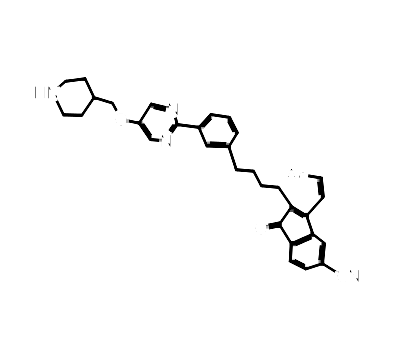 CC(=O)/C=C\C1=C(CCCCc2cccc(-c3ncc(OCC4CCNCC4)cn3)c2)C(=O)c2ccc(C#N)cc21